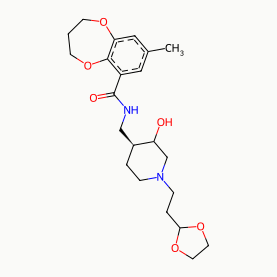 Cc1cc2c(c(C(=O)NC[C@@H]3CCN(CCC4OCCO4)CC3O)c1)OCCCO2